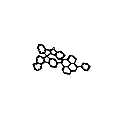 C1=CC2=CC(c3ccccc3)=C3C=CC=C4C=C(c5ccc6c(c5)C5(c7ccccc7-c7sc8ccccc8c75)c5ccc7ccccc7c5-6)C(=C1)C2C43